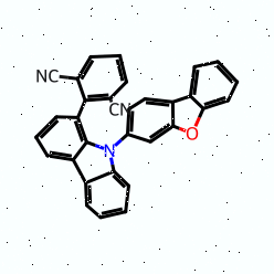 N#Cc1cccc(C#N)c1-c1cccc2c3ccccc3n(-c3ccc4c(c3)oc3ccccc34)c12